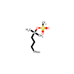 CCCCCCCCCCCC[Si](C)(C)OS(=O)(=O)C(F)(F)F